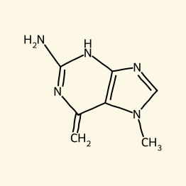 C=C1N=C(N)Nc2ncn(C)c21